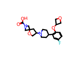 O=C(O)N1CC2(CC(N3CCC(c4cc(F)ccc4OC4COC4)CC3)CO2)C1